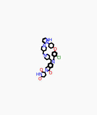 N#Cc1ccc(OC2CCC(N3NC=CC=C3N3CCC(CN4CCC(Cc5ccc6c(c5)CN(C5CCC(=O)NC5=O)C6=O)CC4)CC3)CC2)cc1Cl